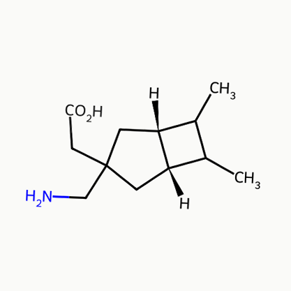 CC1C(C)[C@@H]2CC(CN)(CC(=O)O)C[C@H]12